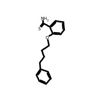 NC(=S)c1ccccc1OCCCCc1ccccc1